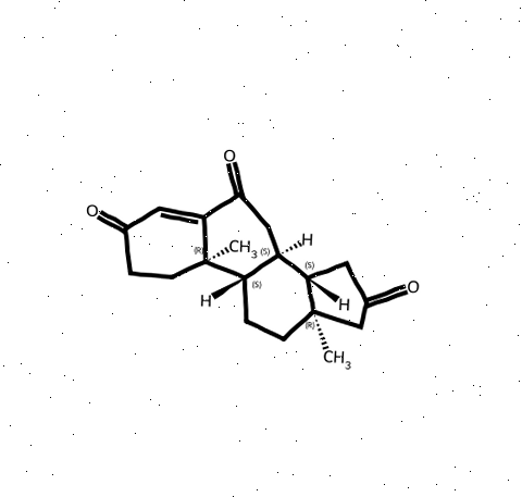 C[C@]12CC[C@H]3[C@@H](CC(=O)C4=CC(=O)CC[C@@]43C)[C@@H]1CC(=O)C2